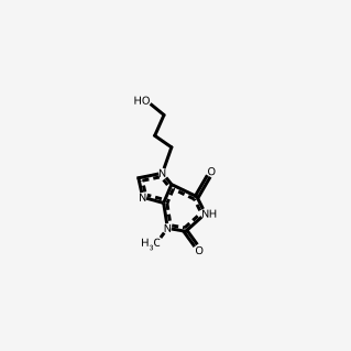 Cn1c(=O)[nH]c(=O)c2c1ncn2CCCO